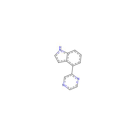 c1cc(-c2cnccn2)c2cc[nH]c2c1